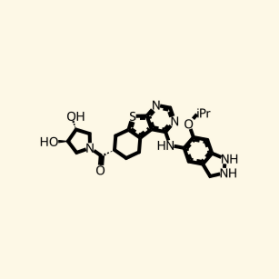 CC(C)Oc1cc2c(cc1Nc1ncnc3sc4c(c13)CC[C@H](C(=O)N1C[C@@H](O)[C@H](O)C1)C4)CNN2